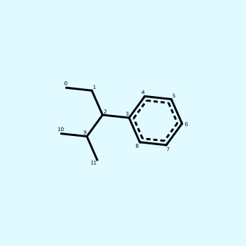 CCC(c1ccccc1)C(C)C